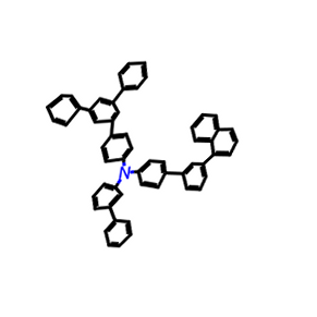 c1ccc(-c2cc(-c3ccccc3)cc(-c3ccc(N(c4ccc(-c5cccc(-c6cccc7ccccc67)c5)cc4)c4cccc(-c5ccccc5)c4)cc3)c2)cc1